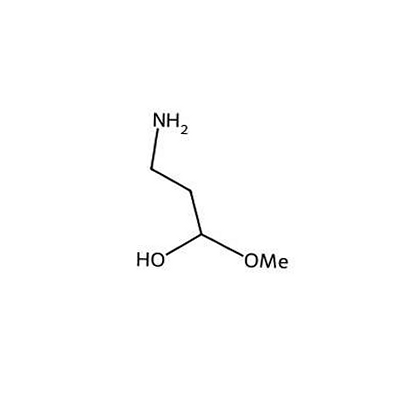 COC(O)CCN